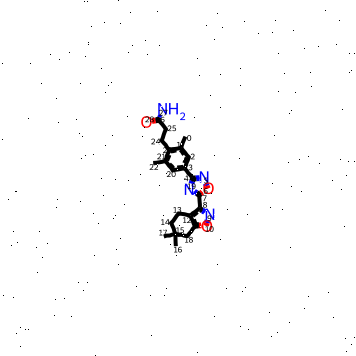 Cc1cc(-c2noc(-c3noc4c3CCC(C)(C)C4)n2)cc(C)c1CCC(N)=O